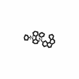 c1ccc(N(c2ccc3ccc4ccc5ccccc5c4c3c2)c2cccc3c2c2ccccc2n3-c2ccccc2)cc1